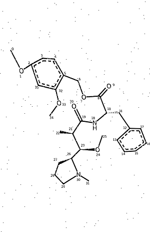 COc1ccc(COC(=O)[C@H](Cc2ccccc2)NC(=O)[C@H](C)[C@@H](OC)[C@@H]2CCCN2C)c(OC)c1